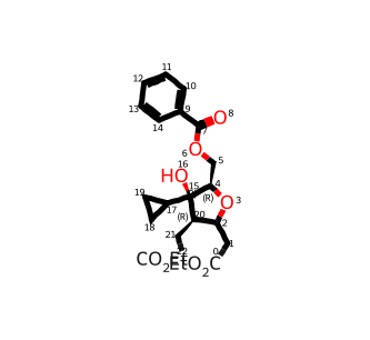 CCOC(=O)CC1O[C@H](COC(=O)c2ccccc2)[C@@](O)(C2CC2)[C@@H]1CC(=O)OCC